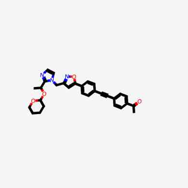 CC(=O)c1ccc(C#Cc2ccc(-c3cc(Cn4ccnc4C(C)OC4CCCCO4)no3)cc2)cc1